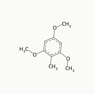 COc1cc(OC)c(C)c(OC)c1